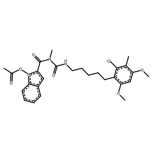 COc1cc(OC)c(CCCCCNC(=O)N(C)C(=O)c2cc3ccccc3n2OC(C)=O)c(Cl)c1C